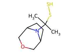 CC(C)(SS)N1C2CCC1COC2